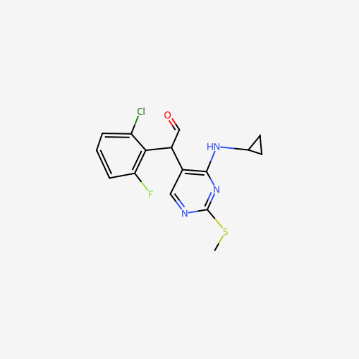 CSc1ncc(C(C=O)c2c(F)cccc2Cl)c(NC2CC2)n1